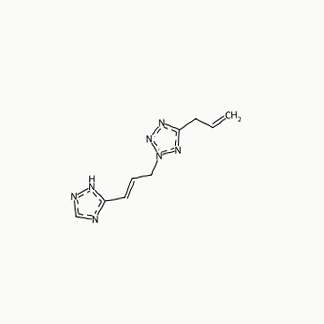 C=CCc1nnn(CC=Cc2ncn[nH]2)n1